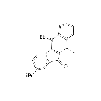 CCN1C2=C(C(=O)c3cc(C(C)C)ccc32)C(C)c2ccccc21